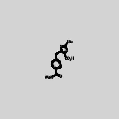 CNC(=O)c1ccc(Cc2nc(C(C)(C)C)sc2C(=O)O)cc1